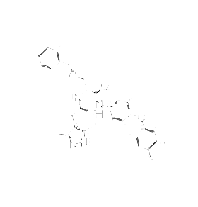 Cc1n[nH]c(C)c1CC(=O)NC(COCc1ccccc1)C(=O)Nc1ccc(Oc2ccc(F)cc2)cc1